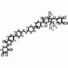 CC1(C)[C@H](NC(=O)c2ccc(N3CCC(CCN4CCN(c5ccc6c(c5)CN(C5CCC(=O)NC5=O)C6=O)CC4)CC3)nc2)C(C)(C)[C@H]1Oc1ccc(C#N)c(Cl)c1